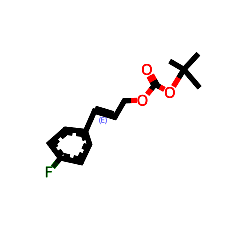 CC(C)(C)OC(=O)OC/C=C/c1ccc(F)cc1